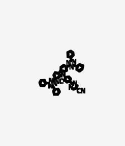 N#Cc1cnc(-c2ccc(-n3c4cc(-c5nc(-c6ccccc6)nc(-c6ccccc6)n5)ccc4c4ccc(-c5nc(-c6ccccc6)nc(-c6ccccc6)n5)cc43)c(C#N)c2)nc1